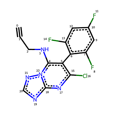 C#CCNc1c(-c2c(F)cc(F)cc2F)c(Cl)nc2ncnn12